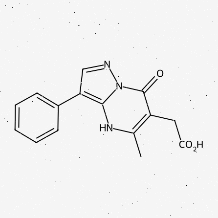 Cc1[nH]c2c(-c3ccccc3)cnn2c(=O)c1CC(=O)O